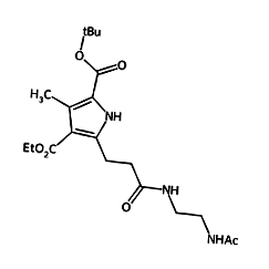 CCOC(=O)c1c(CCC(=O)NCCNC(C)=O)[nH]c(C(=O)OC(C)(C)C)c1C